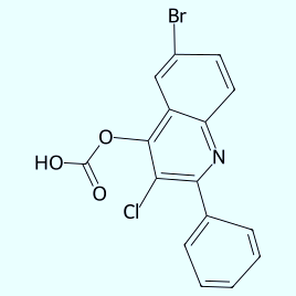 O=C(O)Oc1c(Cl)c(-c2ccccc2)nc2ccc(Br)cc12